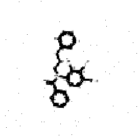 O=C(c1ccccc1)N(CCCc1ccccc1)c1ccc(F)[c]([Ti])c1F